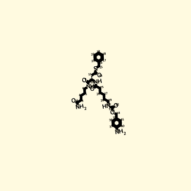 NC(=O)CCCCNC(=O)[C@H](CC(=O)SCc1ccccc1)NC(=O)CCCCCNC(=O)OCc1ccc(N)cc1